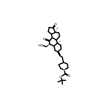 CC(C)(C)OC(=O)N1CCC(C/C=C2\CC[C@]3(C)C4CC[C@]5(C)C(=O)CCC5C4C(=O)[C@H](CO)C3C2)CC1